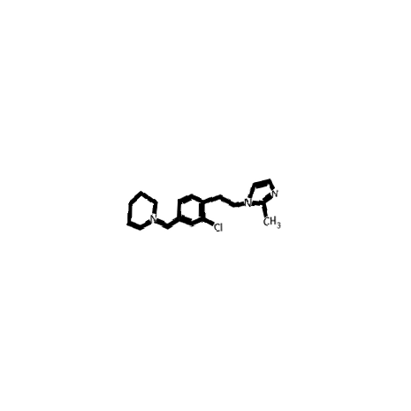 Cc1nccn1CCc1ccc(CN2CCCCC2)cc1Cl